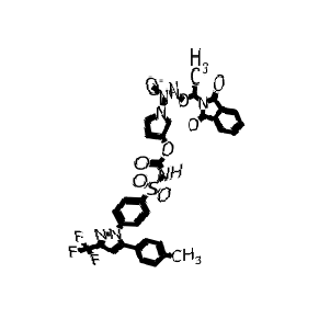 Cc1ccc(-c2cc(C(F)(F)F)nn2-c2ccc(S(=O)(=O)NC(=O)OC3CCN(/[N+]([O-])=N\OC(C)N4C(=O)c5ccccc5C4=O)C3)cc2)cc1